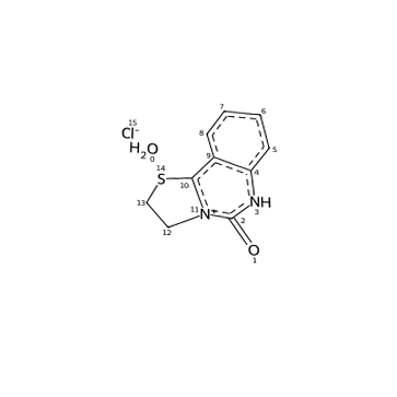 O.O=c1[nH]c2ccccc2c2[n+]1CCS2.[Cl-]